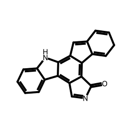 O=C1N=Cc2c1c1c(c3[nH]c4ccccc4c23)C=C2C=CCC=C21